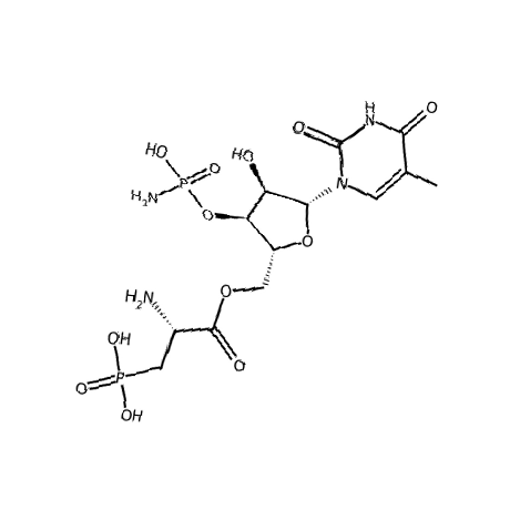 Cc1cn([C@@H]2O[C@H](COC(=O)[C@@H](N)CP(=O)(O)O)[C@@H](OP(N)(=O)O)[C@H]2O)c(=O)[nH]c1=O